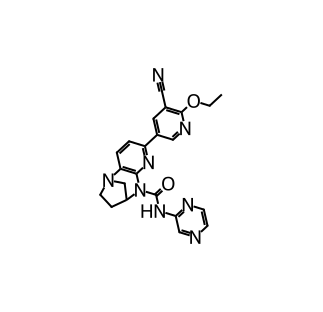 CCOc1ncc(-c2ccc3c(n2)N(C(=O)Nc2cnccn2)C2CCN3C2)cc1C#N